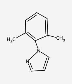 Cc1cccc(C)c1-n1cc[c]n1